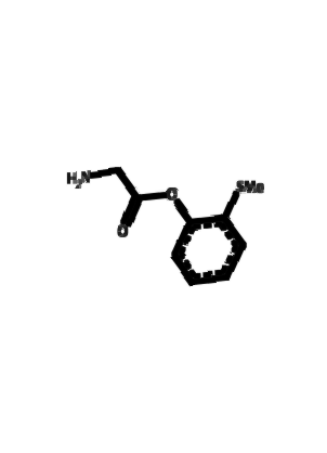 CSc1ccccc1OC(=O)CN